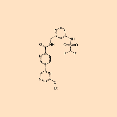 CCOc1cncc(-c2ccc(C(=O)NCc3cc(NS(=O)(=O)C(F)F)ccn3)nc2)n1